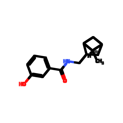 C[C@@H]1C2CC(CNC(=O)c3cccc(O)c3)C1C2